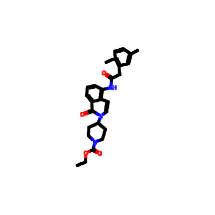 CCOC(=O)N1CCC(n2ccc3c(NC(=O)Cc4cc(C)ccc4C)cccc3c2=O)CC1